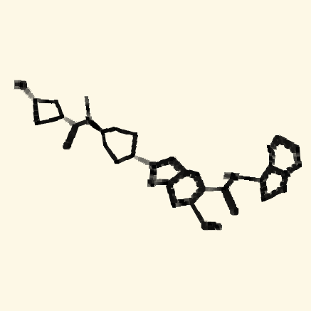 COc1cc2nn([C@H]3CC[C@H](N(C)C(=O)[C@H]4C[C@@H](O)C4)CC3)cc2cc1C(=O)Nc1cnn2cccnc12